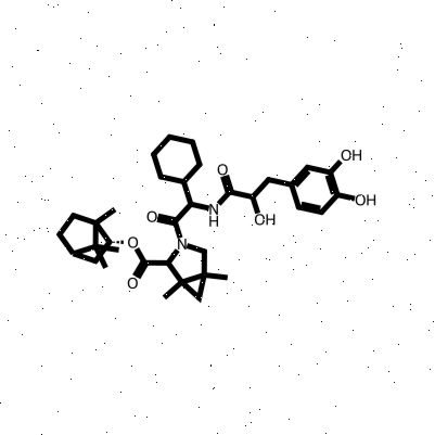 CC12CN(C(=O)C(NC(=O)C(O)Cc3ccc(O)c(O)c3)C3CCCCC3)C(C(=O)O[C@@H]3CC4CCC3(C)C4(C)C)C1(C)C2